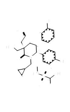 C=CC[C@@]1(CC)C[C@H](c2cccc(Cl)c2)[C@@H](c2ccc(Cl)cc2)N([C@H](CNS(=O)(=O)C(C)C)C2CC2)C1=O